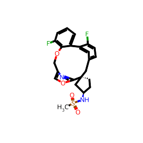 CS(=O)(=O)N[C@@H]1CC[C@]2(Cc3ccc(F)c(c3)-c3cccc(F)c3OCc3coc2n3)C1